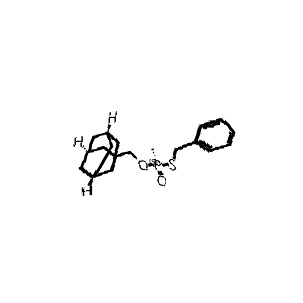 C[P@](=O)(OCC12C[C@H]3C[C@@H](C1)C[C@@H](C2)C3)SCc1ccccc1